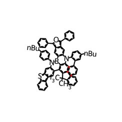 CCCCc1ccc(N2B3c4cc5c(-c6ccccc6)oc(-c6ccccc6)c5cc4N(c4ccc(CCCC)cc4-c4ccccc4)c4cc5c(c(c43)-c3cc4c(cc32)sc2ccccc24)C(C)(C)c2ccccc2-5)cc1